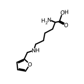 NC(CCCCNCc1ccco1)C(=O)O